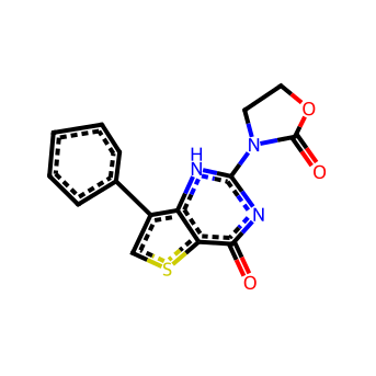 O=C1OCCN1c1nc(=O)c2scc(-c3ccccc3)c2[nH]1